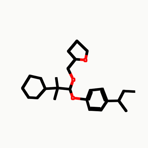 CCC(C)c1ccc(OC(OCC2CCCO2)C(C)(C)C2CCCCC2)cc1